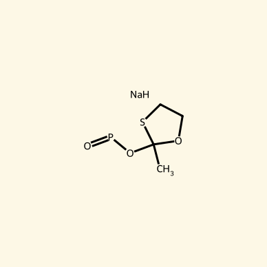 CC1(OP=O)OCCS1.[NaH]